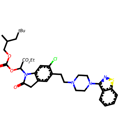 CCOC(=O)C(OC(=O)OCC(C)CC(C)(C)C)N1C(=O)Cc2cc(CCN3CCN(c4nsc5ccccc45)CC3)c(Cl)cc21